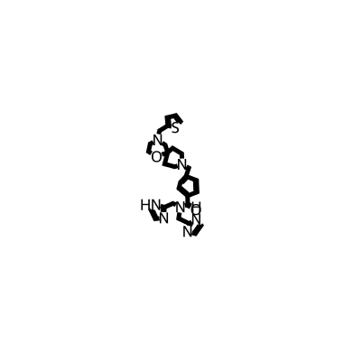 O=C(c1ccc(CN2CCC3(CC2)CN(Cc2cccs2)CCO3)cc1)N(Cc1ncc[nH]1)Cc1ncc[nH]1